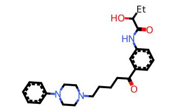 CCC(O)C(=O)Nc1cccc(C(=O)CCCCN2CCN(c3ccccc3)CC2)c1